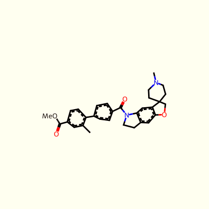 COC(=O)c1ccc(-c2ccc(C(=O)N3CCc4cc5c(cc43)C3(CCN(C)CC3)CO5)cc2)c(C)c1